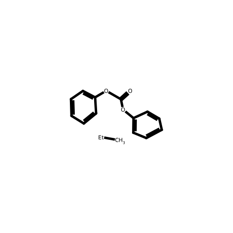 CCC.O=C(Oc1ccccc1)Oc1ccccc1